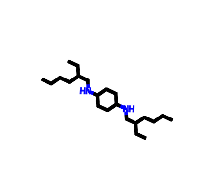 CCCCC(CC)CNC1CCC(NCC(CC)CCCC)CC1